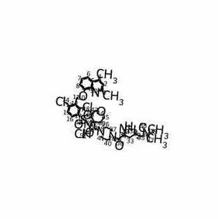 Cc1cc(C)c2cccc(OCc3c(Cl)ccc(S(=O)(=O)NC4(C(=O)N5CCN(C(=O)[C@@H](N)CCC[N+](C)(C)C)CC5)CCOCC4)c3Cl)c2n1.[Cl-]